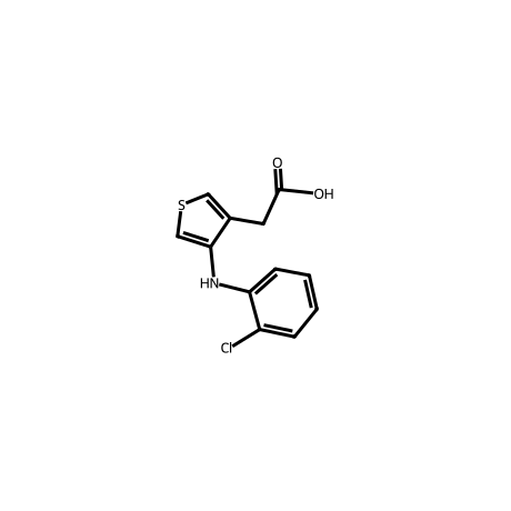 O=C(O)Cc1cscc1Nc1ccccc1Cl